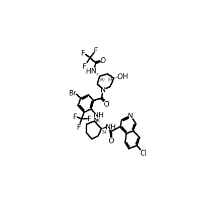 O=C(N[C@H]1CCCC[C@H]1Nc1c(C(=O)N2C[C@@H](O)C[C@@H](NC(=O)C(F)(F)F)C2)cc(Br)cc1C(F)(F)F)c1cncc2cc(Cl)ccc12